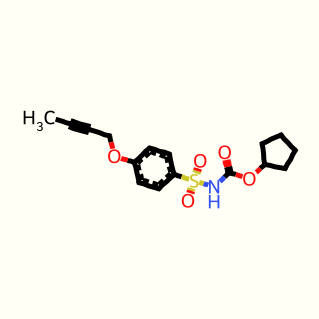 CC#CCOc1ccc(S(=O)(=O)NC(=O)OC2CCCC2)cc1